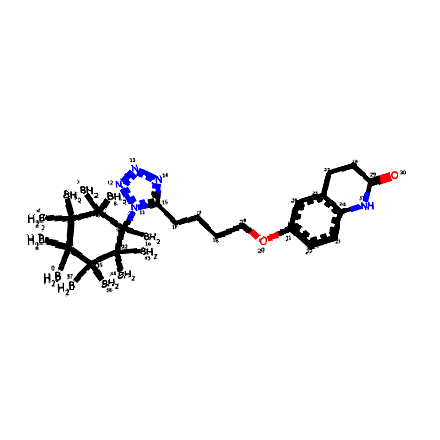 BC1(B)C(B)(B)C(B)(B)C(B)(n2nnnc2CCCCOc2ccc3c(c2)CCC(=O)N3)C(B)(B)C1(B)B